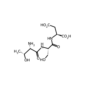 C[C@@H](O)[C@H](N)C(=O)N[C@@H](CO)C(=O)N[C@@H](CC(=O)O)C(=O)O